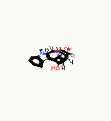 CCC[N@+]12[C@H](O)[C@@H](CC)[C@@H]3C[C@H]1[C@@H]1N(C)c4ccccc4[C@]14C[C@H]2[C@H]3[C@H]4O